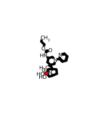 CCCOC(=O)NC1CN(c2ccccn2)CC(C)(C23CCC(CC(O)C2)N3C(=O)O)C1